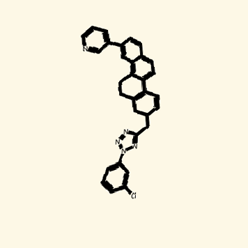 Clc1cccc(-n2nnc(CC3C=CC4=C(CCc5c4ccc4ccc(-c6cccnc6)cc54)C3)n2)c1